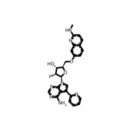 CNc1ccc2ccc(OC[C@H]3O[C@@H](n4cc(-c5ccccn5)c5c(N)ncnc54)[C@@H](F)[C@@H]3O)cc2n1